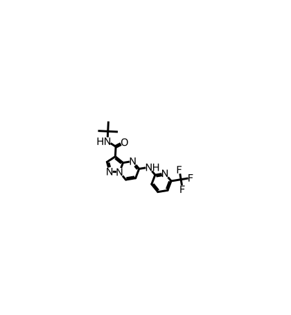 CC(C)(C)NC(=O)c1cnn2ccc(Nc3cccc(C(F)(F)F)n3)nc12